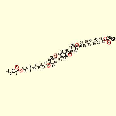 C=CC(=O)OCCCCCCCCCCCOc1ccc(C(=O)Cc2ccc(CC(=O)c3ccc(OCCCCCCCCCCCOC(=O)C=C)cc3)cc2)cc1